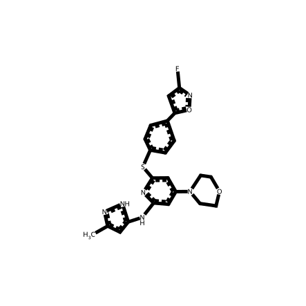 Cc1cc(Nc2cc(N3CCOCC3)cc(Sc3ccc(-c4cc(F)no4)cc3)n2)[nH]n1